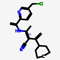 C=C(N/C(C)=C(\C#N)C(=C)C1CCCCC1)c1ccc(CCl)cn1